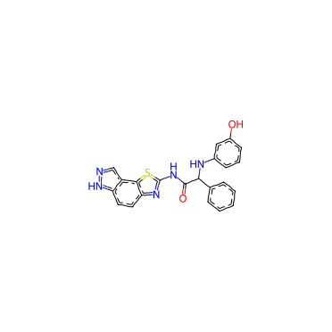 O=C(Nc1nc2ccc3[nH]ncc3c2s1)C(Nc1cccc(O)c1)c1ccccc1